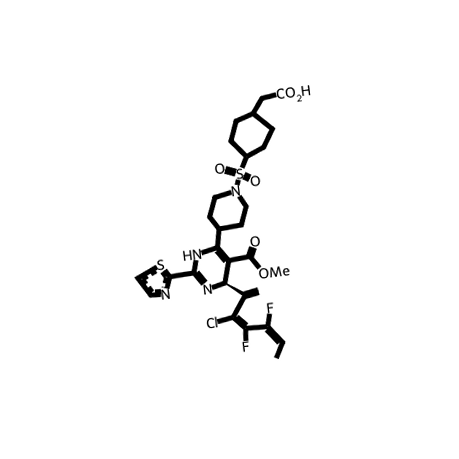 C=C(/C(Cl)=C(F)\C(F)=C/C)[C@H]1N=C(c2nccs2)NC(C2CCN(S(=O)(=O)C3CCC(CC(=O)O)CC3)CC2)=C1C(=O)OC